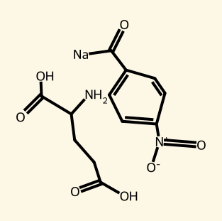 NC(CCC(=O)O)C(=O)O.O=[C]([Na])c1ccc([N+](=O)[O-])cc1